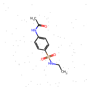 [CH2]CNS(=O)(=O)c1ccc(NC(C)=O)cc1